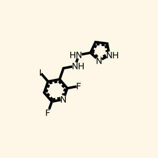 Fc1cc(I)c(CNNc2cc[nH]n2)c(F)n1